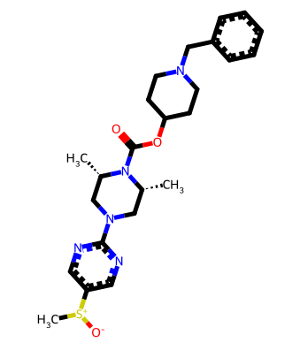 C[C@@H]1CN(c2ncc([S+](C)[O-])cn2)C[C@H](C)N1C(=O)OC1CCN(Cc2ccccc2)CC1